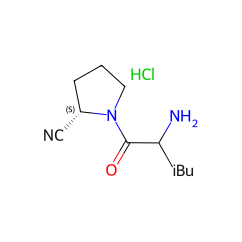 CCC(C)C(N)C(=O)N1CCC[C@H]1C#N.Cl